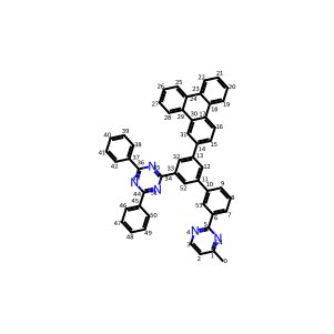 Cc1ccnc(-c2cccc(-c3cc(-c4ccc5c6ccccc6c6ccccc6c5c4)cc(-c4nc(-c5ccccc5)nc(-c5ccccc5)n4)c3)c2)n1